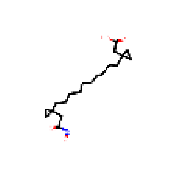 O=NC(=O)CC1(CCCCCCCCCCC2(CC(=O)O)CC2)CC1